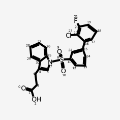 O=C(O)CCc1cn(S(=O)(=O)c2cccc(-c3cccc(F)c3Cl)c2)c2ccccc12